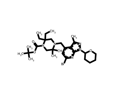 CCC1(CC)CN(Cc2cc(Br)nc3c2c(C)nn3C2CCCCO2)C(C)(C)CN1C(=O)OC(C)(C)C